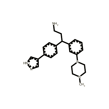 CN1CCN(c2cccc(C(CCN)c3ccc(-c4cn[nH]c4)cc3)c2)CC1